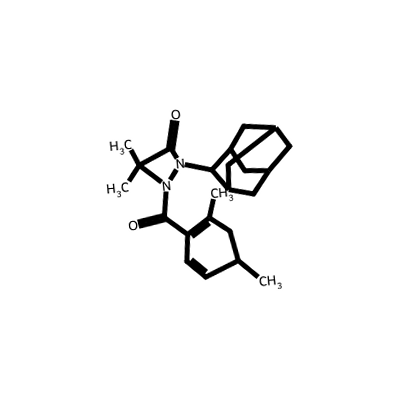 CC1=C(C(=O)N2N(C3C4CC5CC(C4)CC3C5)C(=O)C2(C)C)C=CC(C)C1